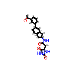 CC(=O)c1cccc(-c2ccc3c(c2)CC(NC(=O)CC2NC(=O)NC2=O)C3)c1